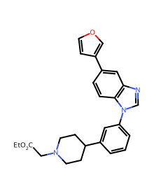 CCOC(=O)CN1CCC(c2cccc(-n3cnc4cc(-c5ccoc5)ccc43)c2)CC1